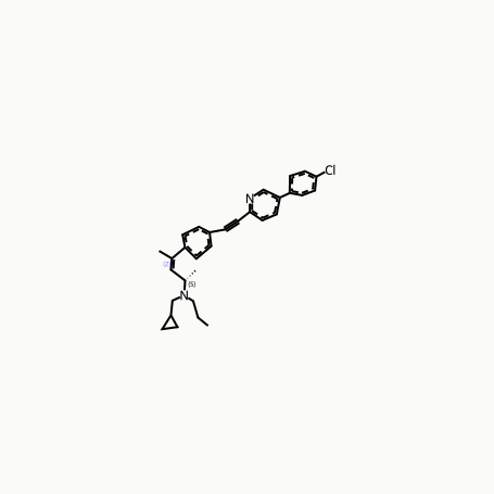 CCCN(CC1CC1)[C@@H](C)/C=C(/C)c1ccc(C#Cc2ccc(-c3ccc(Cl)cc3)cn2)cc1